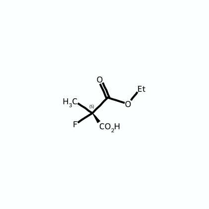 CCOC(=O)[C@@](C)(F)C(=O)O